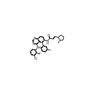 Cc1cccc(-c2c(NC(=O)/C=C/C3CCCN3C)ccc3ncnc(Nc4cccc(Cl)c4F)c23)c1